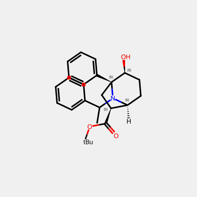 CC(c1ccccc1)N1[C@H]2CC[C@H](O)[C@@]1(c1ccccc1)C[C@@H]2C(=O)OC(C)(C)C